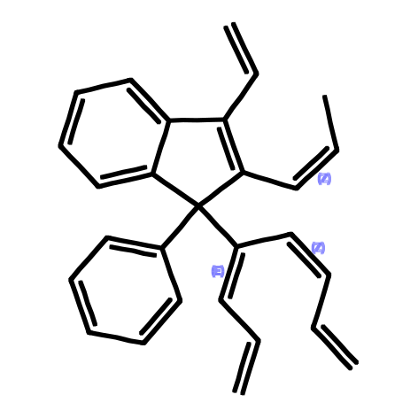 C=C/C=C\C(=C/C=C)C1(c2ccccc2)C(/C=C\C)=C(C=C)c2ccccc21